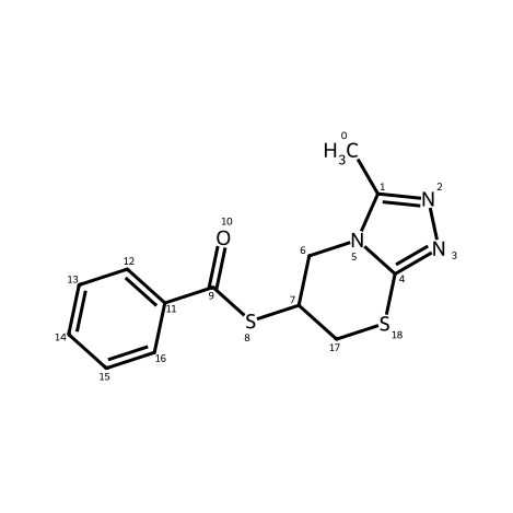 Cc1nnc2n1CC(SC(=O)c1ccccc1)CS2